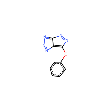 c1ccc(OC2=C3N=NN=C3N=N2)cc1